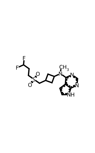 CN(c1ncnc2[nH]ccc12)C1CC(CS(=O)(=O)CCC(F)F)C1